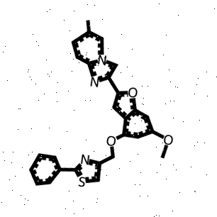 COc1cc(OCc2csc(-c3ccccc3)n2)c2cc(-c3cn4cc(C)ccc4n3)oc2c1